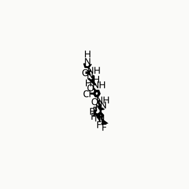 Cn1c(-c2cn(C3CC3(F)F)nc2C(F)(F)F)cnc1C(=O)Nc1ccc(C(=O)NC2[C@H]3CN(C(=O)N[C@H]4CCNC4)C[C@@H]23)c(Cl)c1